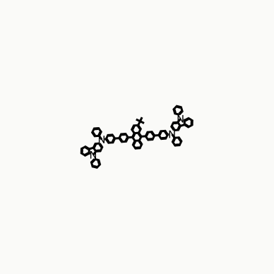 CC(C)(C)c1ccc2c(-c3ccc(-c4ccc(N(c5ccccc5)c5ccc6c(c5)c5ccccc5n6-c5ccccc5)cc4)cc3)c3ccccc3c(-c3ccc(-c4ccc(N(c5ccccc5)c5ccc6c(c5)c5ccccc5n6-c5ccccc5)cc4)cc3)c2c1